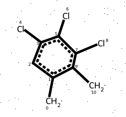 [CH2]c1cc(Cl)c(Cl)c(Cl)c1[CH2]